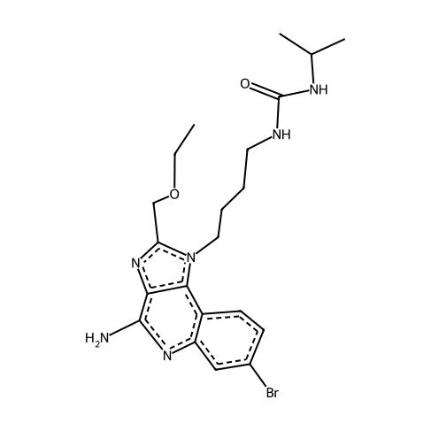 CCOCc1nc2c(N)nc3cc(Br)ccc3c2n1CCCCNC(=O)NC(C)C